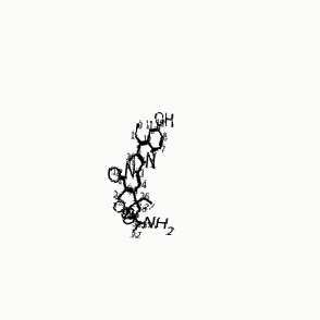 CCc1c2c(nc3ccc(O)cc13)-c1cc3c(c(=O)n1C2)COC(=O)C3(CC)CC(=O)C(C)N